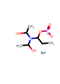 CCC(O[PH](=O)[O-])N(C(C)O)C(C)O.[Na+]